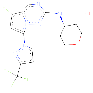 O[C@@H]1COCC[C@H]1Nc1ncc2c(F)cc(-n3ccc(C(F)(F)F)n3)n2n1